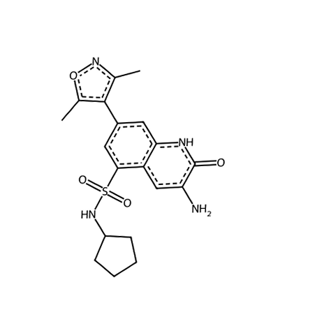 Cc1noc(C)c1-c1cc(S(=O)(=O)NC2CCCC2)c2cc(N)c(=O)[nH]c2c1